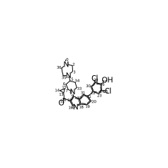 CN1CCN(C2CCN(c3c(C(=O)C4CC4)cnc4ccc(-c5cc(Cl)c(O)c(Cl)c5)cc34)CC2)CC1